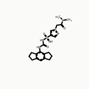 CN(C)C(=O)Cn1cc(S(=N)(=O)NC(=O)Nc2c3c(cc4c2CCC4)CCC3)cn1